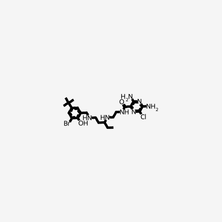 CCC(CCNCc1cc(C(C)(C)C)cc(Br)c1O)NCCNC(=O)c1nc(Cl)c(N)nc1N